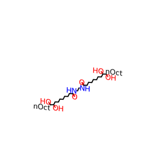 CCCCCCCCC(O)C(O)CCCCCCCC(=O)NCCNC(=O)CCCCCCCC(O)C(O)CCCCCCCC